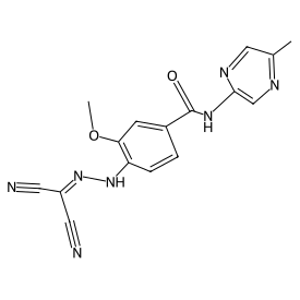 COc1cc(C(=O)Nc2cnc(C)cn2)ccc1NN=C(C#N)C#N